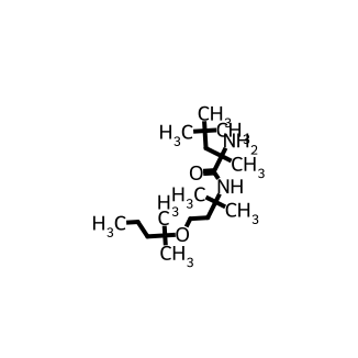 CCCC(C)(C)OCCC(C)(C)NC(=O)C(C)(N)CC(C)(C)C